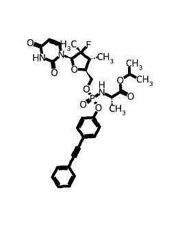 CC(C)OC(=O)[C@H](C)NP(=O)(OC[C@H]1O[C@@H](n2ccc(=O)[nH]c2=O)[C@](C)(F)[C@@H]1C)Oc1ccc(C#Cc2ccccc2)cc1